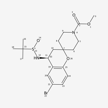 COC(=O)N1CCC2(CC1)C[C@H](N[S+]([O-])C(C)(C)C)c1cc(Br)ccc1O2